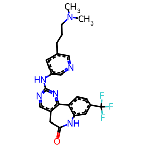 CN(C)CCCc1cncc(Nc2ncc3c(n2)-c2ccc(C(F)(F)F)cc2NC(=O)C3)c1